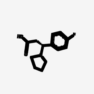 O=C(O)C[C@H](c1ccc(F)cc1)N1CCCC1